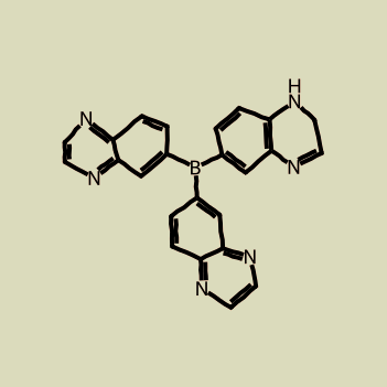 C1=Nc2cc(B(c3ccc4nccnc4c3)c3ccc4nccnc4c3)ccc2NC1